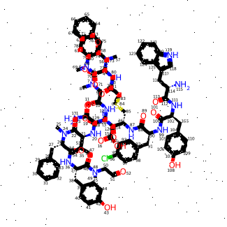 CCCC[C@@H](C(=O)N(C)CC(=O)N[C@@H](CC(=O)O)C(=O)N[C@H](C(=O)N(C)[C@@H](Cc1ccccc1)C(=O)N[C@@H](Cc1ccc(O)cc1)C(=O)N(C)CC=O)C(C)C)N(C)C(=O)[C@H](Cc1ccccc1)N(C)C(=O)[C@H](Cc1ccccc1)NC(=O)CSC[C@H](NC(=O)[C@H](Cc1ccc(Cl)cc1)NC(=O)[C@H](Cc1ccc(O)cc1)NC(=O)[C@@H](N)Cc1c[nH]c2ccccc12)C(=O)NCC(N)=O